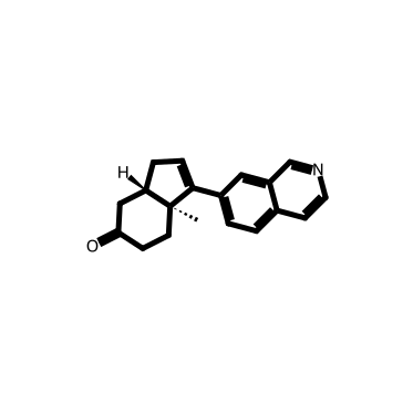 C[C@]12CCC(=O)C[C@@H]1CC=C2c1ccc2ccncc2c1